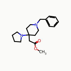 COC(=O)CC1(N2CCCC2)CCN(Cc2ccccc2)CC1